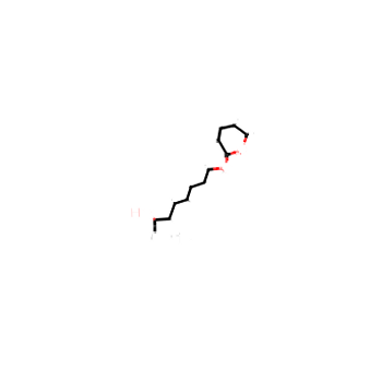 CCCCCCCC(O)CCCCCCOC1CCCCO1